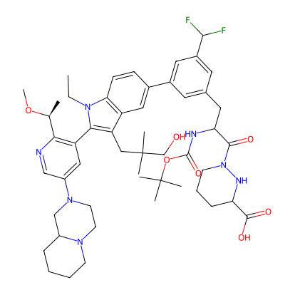 CCn1c(-c2cc(N3CCN4CCCCC4C3)cnc2[C@H](C)OC)c(CC(C)(C)CO)c2cc(-c3cc(CC(NC(=O)OC(C)(C)C)C(=O)N4CCCC(C(=O)O)N4)cc(C(F)F)c3)ccc21